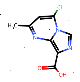 Cc1cc(Cl)n2cnc(C(=O)O)c2n1